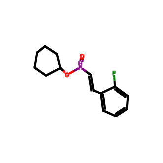 O=[PH](C=Cc1ccccc1F)OC1CCCCC1